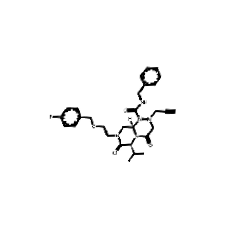 C#CCN1CC(=O)N2[C@@H](C(C)C)C(=O)N(CCOCc3ccc(F)cc3)C[C@@H]2N1C(=O)NCc1ccccc1